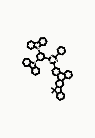 CC1(C)c2ccccc2-c2cc3c4ccccc4c4cc(-c5nc(-c6ccccc6)nc(-c6cc(-n7c8ccccc8c8ccccc87)cc(-n7c8ccccc8c8ccccc87)c6)n5)ccc4c3cc21